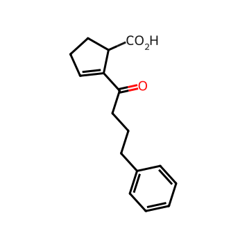 O=C(CCCc1ccccc1)C1=CCCC1C(=O)O